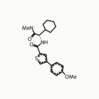 CNC(=O)[C@@H](NC(=O)c1cc(-c2ccc(OC)cc2)cs1)C1CCCCC1